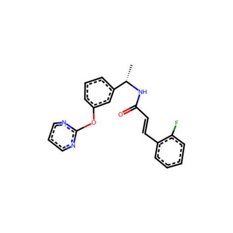 C[C@H](NC(=O)/C=C/c1ccccc1F)c1cccc(Oc2ncccn2)c1